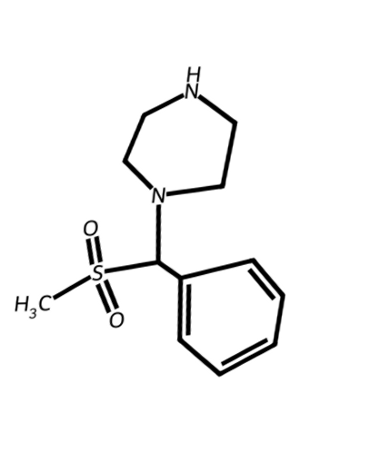 CS(=O)(=O)C(c1ccccc1)N1CCNCC1